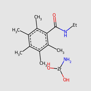 [CH2]CNC(=O)c1c(C)c(C)c(C)c(C)c1C.[NH2][Zr]([OH])[OH]